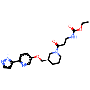 CCOC(=O)NCCC(=O)N1CCC[C@@H](COc2ccc(-c3ccn[nH]3)nc2)C1